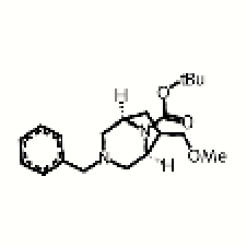 COCC1C[C@@H]2CN(Cc3ccccc3)C[C@H]1N2C(=O)OC(C)(C)C